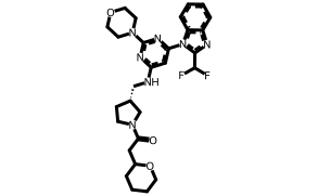 O=C(CC1CCCCO1)N1CC[C@H](CNc2cc(-n3c(C(F)F)nc4ccccc43)nc(N3CCOCC3)n2)C1